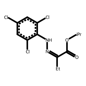 CCC(=NNc1c(Cl)cc(Cl)cc1Cl)C(=O)OC(C)C